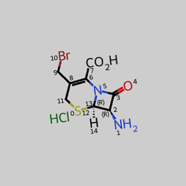 Cl.N[C@@H]1C(=O)N2C(C(=O)O)=C(CBr)CS[C@H]12